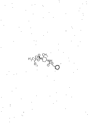 C[C@H]1CC(NC(=O)OCc2ccccc2)CCN1C(=O)OC(C)(C)C